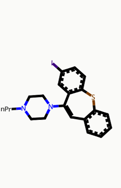 CCCN1CCN(C2=Cc3ccccc3Sc3ccc(I)cc32)CC1